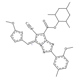 [C-]#[N+]c1c(C(=O)OC2C(C)CC(C)CC2C)c2nc(-c3cc(C)ccc3OC)nn2/c1=C/c1ccc(OC)s1